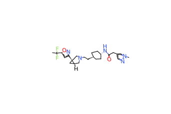 Cn1cc(CC(=O)N[C@H]2CC[C@H](CCN3C[C@@H]4C[C@]4(c4cc(C(C)(F)F)on4)C3)CC2)cn1